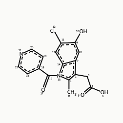 Cc1c(CC(=O)O)c2cc(O)c(Cl)cc2n1C(=O)c1ccncc1